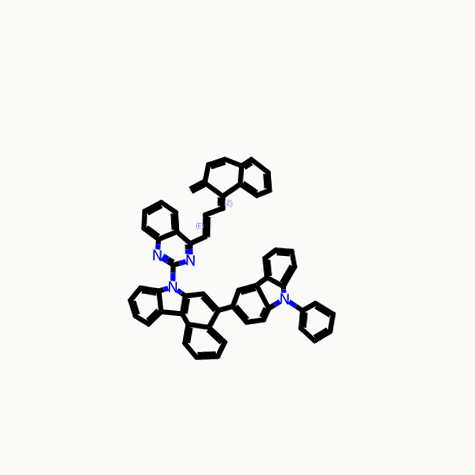 C=c1ccc2ccccc2/c1=C/C=C/c1nc(-n2c3ccccc3c3c4ccccc4c(-c4ccc5c(c4)c4ccccc4n5-c4ccccc4)cc32)nc2ccccc12